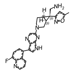 Cc1cc([C@@]2(CN)[C@@H]3CCN(c4cnc5c(-c6ccc(F)c7ncccc67)c[nH]c5n4)C[C@@H]32)no1